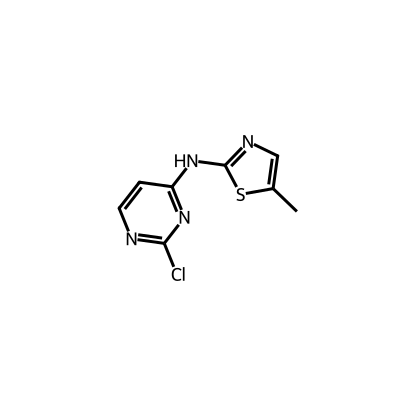 Cc1cnc(Nc2ccnc(Cl)n2)s1